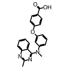 Cc1nc(N(C)c2cccc(Oc3ccc(C(=O)O)cc3)c2)c2ccccc2n1